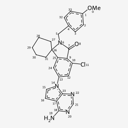 COc1ccc(CN2C(=O)c3c(Cl)cc(-n4ccc5c(N)ncnc54)cc3C23CCCCC3)cc1